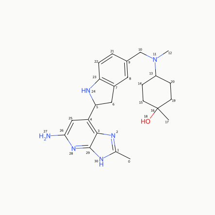 Cc1nc2c(C3Cc4cc(CN(C)C5CCC(C)(O)CC5)ccc4N3)cc(N)nc2[nH]1